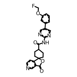 O=C1OC2(CCC(C(=O)Nc3ncc(-c4cccc(OCF)c4)cn3)CC2)c2ccncc21